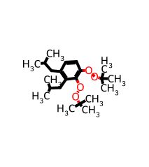 CC(C)Cc1ccc(OOC(C)(C)C)c(OOC(C)(C)C)c1CC(C)C